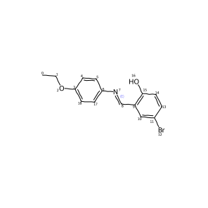 CCOc1ccc(/N=C/c2cc(Br)ccc2O)cc1